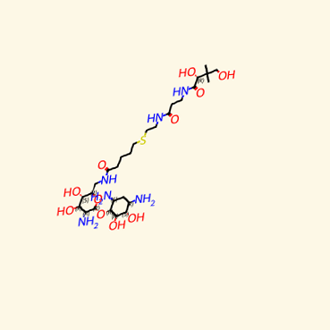 CC(C)(CO)[C@@H](O)C(=O)NCCC(=O)NCCSCCCCC(=O)NC[C@H]1O[C@H](O[C@H]2[C@H](O)[C@@H](O)[C@H](N)C[C@@H]2N)[C@H](N)[C@@H](O)[C@@H]1O